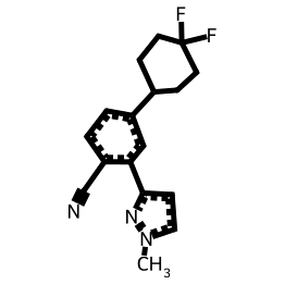 Cn1ccc(-c2cc(C3CCC(F)(F)CC3)ccc2C#N)n1